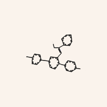 Cc1ccc(-c2ccc(-c3ccc(C)cc3)c(/C=C(\CN)c3ccccc3)c2)cc1